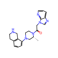 C[C@@H]1CN(c2cccc3c2CNCC3)CCN1C(=O)Cn1cnc2cccnc21